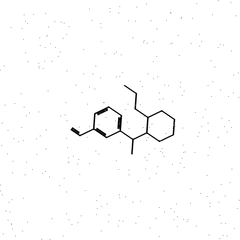 CCCC1CCCCC1C(C)c1cccc(C=O)c1